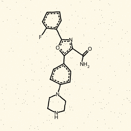 NC(=O)c1nc(-c2ccccc2F)oc1-c1ccc(N2CCNCC2)cc1